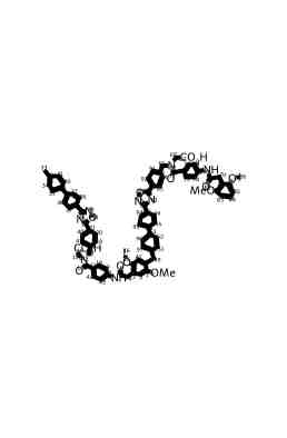 COc1cc(CC(=O)Nc2ccc(C(=O)N(CC(=O)O)Cc3ccc(-c4nc(-c5ccc(-c6ccc(C)cc6)cc5)no4)cc3)cc2)c(OI)cc1Cc1ccc(-c2ccc(-c3noc(-c4ccc(CN(CC(=O)O)C(=O)c5ccc(NC(=O)Cc6c(OC)cccc6OI)cc5)cc4)n3)cc2)cc1